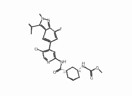 COC(=O)N[C@@H]1CCC[C@H](C(=O)Nc2cc(-c3cc(F)c4nn(C)c(C(C)C)c4c3)c(Cl)cn2)C1